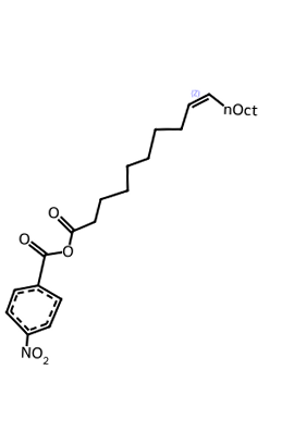 CCCCCCCC/C=C\CCCCCCCC(=O)OC(=O)c1ccc([N+](=O)[O-])cc1